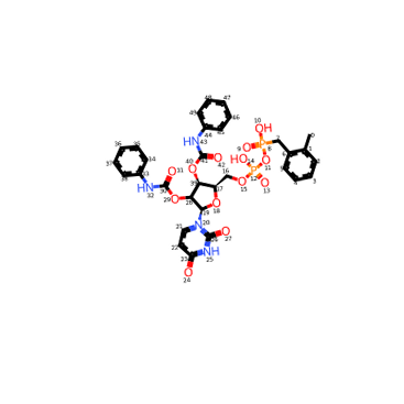 Cc1ccccc1CP(=O)(O)OP(=O)(O)OC[C@H]1O[C@@H](n2ccc(=O)[nH]c2=O)C(OC(=O)Nc2ccccc2)[C@H]1OC(=O)Nc1ccccc1